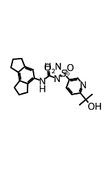 CC(C)(O)c1ccc([S@](N)(=O)=NC(=O)Nc2cc3c(c4c2CCC4)CCC3)cn1